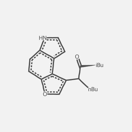 CCCCC(C(=O)[C@H](C)CC)c1coc2ccc3[nH]ccc3c12